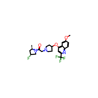 COc1ccc2nc(C(F)(F)F)cc(OC3CCN(CC(=O)N4C[C@@H](F)C[C@H]4C)CC3)c2c1